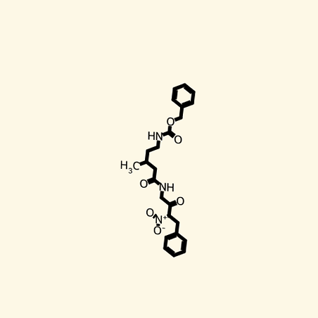 CC(CCNC(=O)OCc1ccccc1)CC(=O)NCC(=O)C(Cc1ccccc1)[N+](=O)[O-]